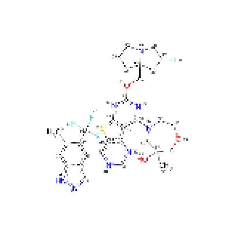 Cc1cc2[nH]ncc2c(-c2ncnc3c2sc2nc(OC[C@@]45CCCN4C[C@H](F)C5)nc(N4CCOC[C@@](C)(O)C4)c23)c1C(F)(F)F